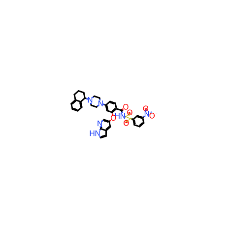 O=C(NS(=O)(=O)c1cccc([N+](=O)[O-])c1)c1ccc(N2CCN(C3CCCc4ccccc43)CC2)cc1Oc1cnc2[nH]ccc2c1